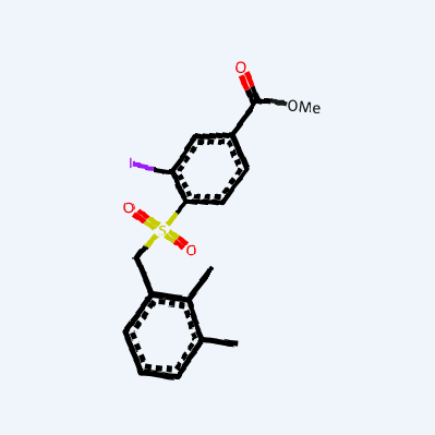 COC(=O)c1ccc(S(=O)(=O)Cc2cccc(C)c2C)c(I)c1